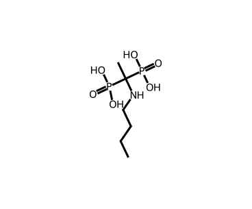 CCCCNC(C)(P(=O)(O)O)P(=O)(O)O